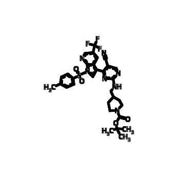 Cc1ccc(S(=O)(=O)n2cc(-c3nc(NCC4CCN(C(=O)OC(C)(C)C)CC4)ncc3C#N)c3cc(C(F)(F)F)cnc32)cc1